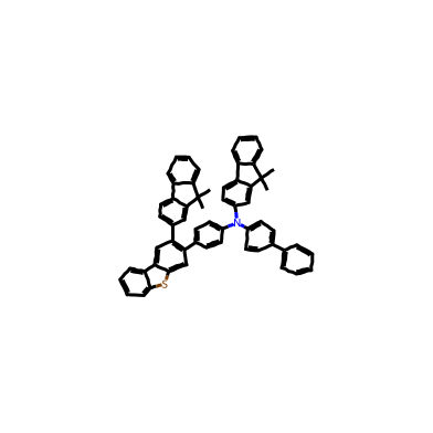 CC1(C)c2ccccc2-c2ccc(-c3cc4c(cc3-c3ccc(N(c5ccc(-c6ccccc6)cc5)c5ccc6c(c5)C(C)(C)c5ccccc5-6)cc3)sc3ccccc34)cc21